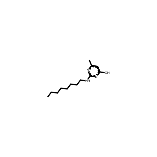 CCCCCCCCNc1nc(C)cc(O)n1